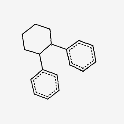 c1ccc([C]2CCCCC2c2ccccc2)cc1